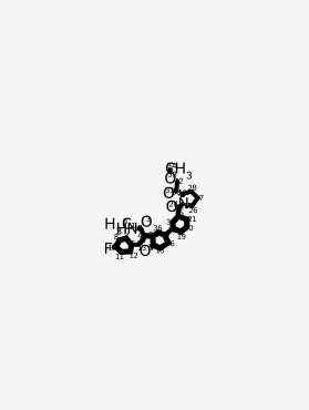 CNC(=O)c1c(-c2ccc(F)cc2)oc2ccc(-c3cccc(C(=O)N4CCC[C@H]4C(=O)COC)c3)cc12